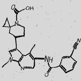 Cc1c(NC(=O)c2cccc(C#N)c2)cnc2c1c(C1CCN(C(=O)O)C3(CC3)C1)cn2C